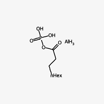 CCCCCCCCC(=O)OP(=O)(O)O.[AlH3]